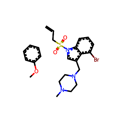 C=CCS(=O)(=O)n1cc(CN2CCN(C)CC2)c2c(Br)cccc21.COc1ccccc1